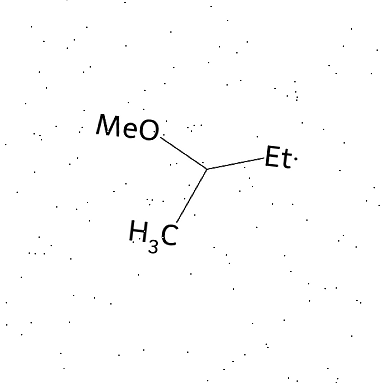 C[CH]C(C)OC